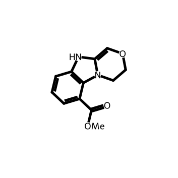 COC(=O)c1cccc2c1N1CCOC=C1N2